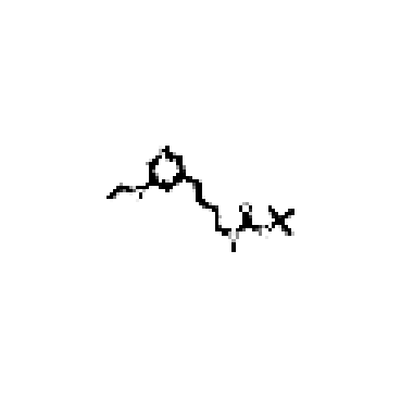 CCSc1cncc(/C=C/CCN(C)C(=O)OC(C)(C)C)c1